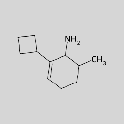 CC1CCC=C(C2CCC2)C1N